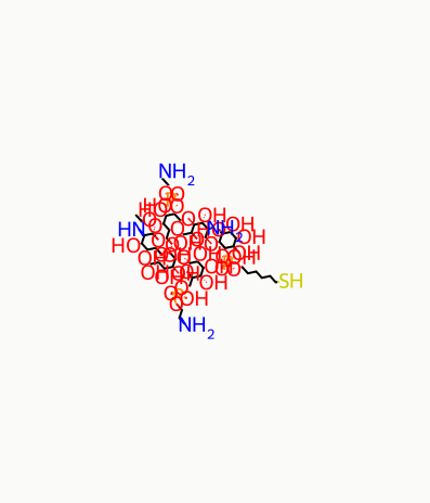 CC(=O)NC1[C@H](O[C@@H]2C(CO[C@H]3OC(CO)[C@@H](O)[C@H](O)C3O[C@H]3OC(COP(=O)(O)OCCN)[C@@H](O)[C@H](O)C3O)O[C@H](O[C@@H]3C(CO)O[C@H](O[C@@H]4C(O)C(O)[C@@H](O)C(O)[C@H]4OP(=O)(O)OCCCCCCS)C(N)[C@H]3O)C(OP(=O)(O)OCCN)[C@H]2O)OC(CO)[C@H](O)[C@@H]1O